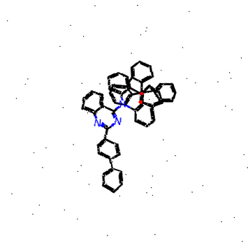 c1ccc(-c2ccc(-c3nc(N(c4ccccc4-c4ccccc4)c4cccc5c4C4(c6ccccc6-c6ccccc64)c4ccccc4-5)c4ccccc4n3)cc2)cc1